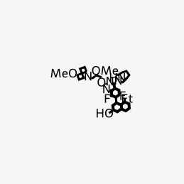 CCc1cccc2cc(O)cc(-c3c(F)cc4c(N5CC6CCC(C5)N6)nc(OCC(CN5C6CCC67C(OC)CC57)OC)nc4c3F)c12